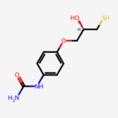 NC(=O)Nc1ccc(OC[C@@H](O)CS)cc1